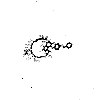 CO[C@H]1/C=C/O[C@@]2(C)Oc3c(C)c(O)c4c(c3C2=O)C2=Nc3ccc(OCc5ccccc5)cc3OC2=C(NC(=O)/C(C)=C\C=C\[C@H](C)[C@H](O)[C@@H](C)[C@@H](O)[C@@H](C)[C@H](OC(C)=O)[C@@H]1C)C4O